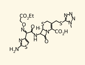 CCOC(=O)CO/N=C(\C(=O)NC1C(=O)N2C(C(=O)O)=C(CSc3nnnn3C)CS[C@H]12)c1csc(N)n1